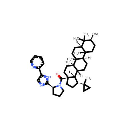 CC(=O)O[C@H]1CC[C@]2(C)[C@H]3CC[C@@H]4[C@H]5[C@H](C6(C)CC6)CC[C@]5(C(=O)N5CCC[C@H]5c5ncc(-c6ccccn6)[nH]5)CC[C@@]4(C)[C@]3(C)CC[C@H]2C1(C)C